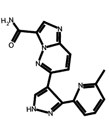 Cc1cccc(-c2n[nH]cc2-c2ccc3ncc(C(N)=O)n3n2)n1